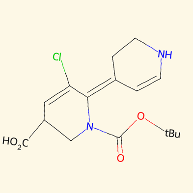 CC(C)(C)OC(=O)N1CC(C(=O)O)C=C(Cl)C1=C1C=CNCC1